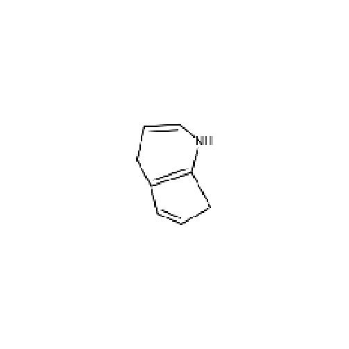 C1=CNC2=C(C=CC2)C1